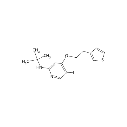 CC(C)(C)Nc1cc(OCCc2ccsc2)c(I)cn1